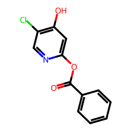 O=C(Oc1cc(O)c(Cl)cn1)c1ccccc1